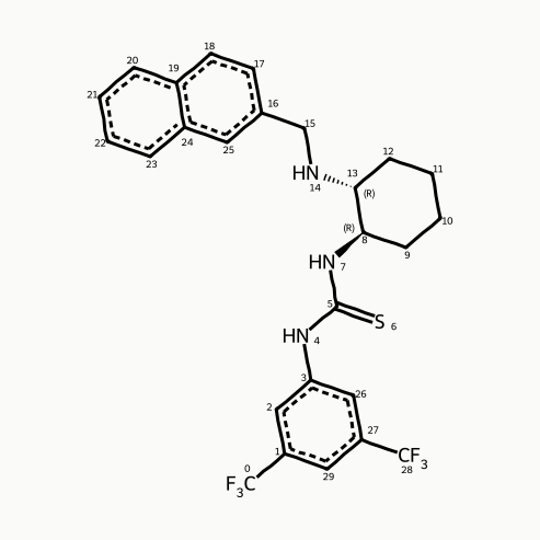 FC(F)(F)c1cc(NC(=S)N[C@@H]2CCCC[C@H]2NCc2ccc3ccccc3c2)cc(C(F)(F)F)c1